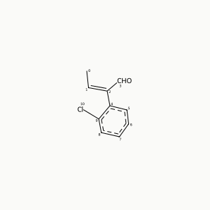 CC=C(C=O)c1ccccc1Cl